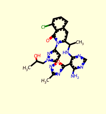 Cc1noc(-c2c(N)ncnc2NC(C)c2cc3cccc(Cl)c3c(=O)n2-c2ccn(CC(C)O)n2)n1